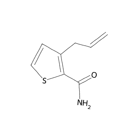 C=CCc1ccsc1C(N)=O